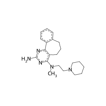 CN(CCN1CCCCC1)c1nc(N)nc2c1CCCc1ccccc1-2